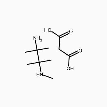 CNC(C)(C)C(C)(C)N.O=C(O)CC(=O)O